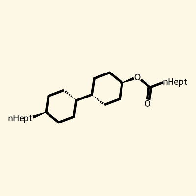 CCCCCCCC(=O)O[C@H]1CC[C@H]([C@H]2CC[C@H](CCCCCCC)CC2)CC1